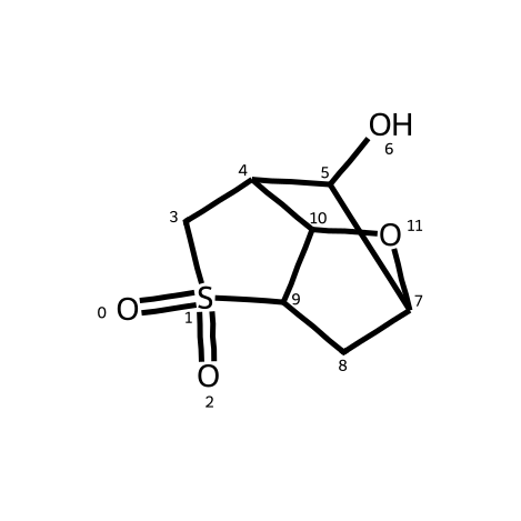 O=S1(=O)CC2C(O)C3CC1C2O3